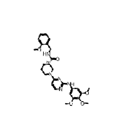 COc1ccccc1CNC(=O)[C@H]1CCCN(c2ccnc(Nc3cc(OC)c(OC)c(OC)c3)n2)C1